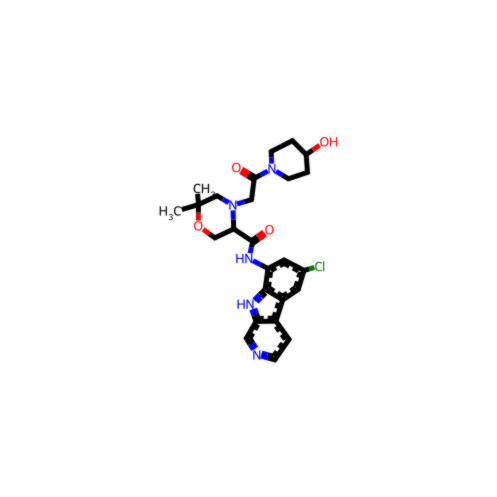 CC1(C)CN(CC(=O)N2CCC(O)CC2)C(C(=O)Nc2cc(Cl)cc3c2[nH]c2cnccc23)CO1